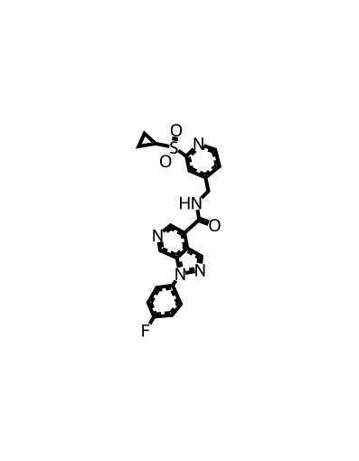 O=C(NCc1ccnc(S(=O)(=O)C2CC2)c1)c1cncc2c1cnn2-c1ccc(F)cc1